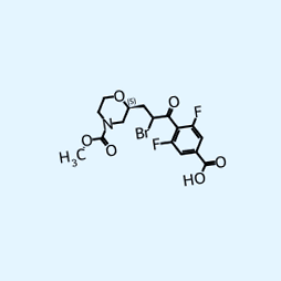 COC(=O)N1CCO[C@@H](CC(Br)C(=O)c2c(F)cc(C(=O)O)cc2F)C1